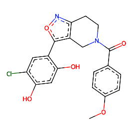 COc1ccc(C(=O)N2CCc3noc(-c4cc(Cl)c(O)cc4O)c3C2)cc1